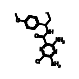 [CH2]CC(NC(=O)c1nc(Cl)c(N)nc1N)c1ccc(OC)cc1